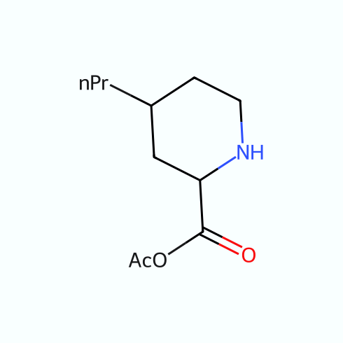 CCCC1CCNC(C(=O)OC(C)=O)C1